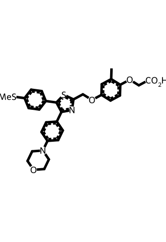 CSc1ccc(-c2sc(COc3ccc(OCC(=O)O)c(C)c3)nc2-c2ccc(N3CCOCC3)cc2)cc1